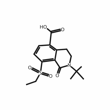 CCS(=O)(=O)c1ccc(C(=O)O)c2c1C(=O)N(C(C)(C)C)CC2